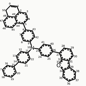 C1=Cc2ccc(-c3ccc(N(c4ccc(-c5ccccc5)cc4)c4ccc(-c5cccc6c5oc5ccccc56)cc4)cc3)c3cccc(c23)C1